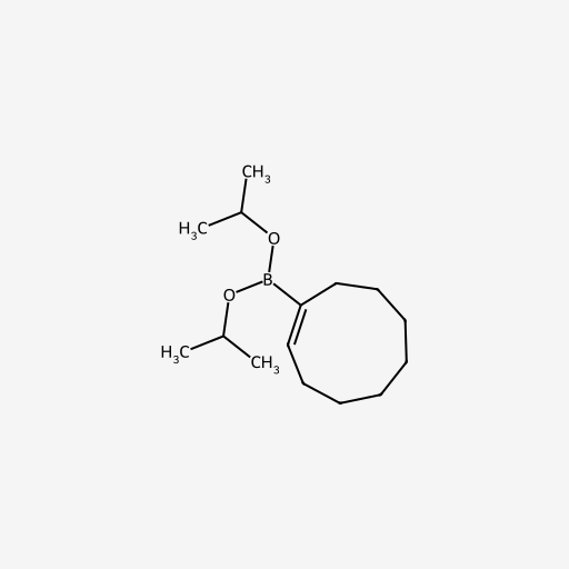 CC(C)OB(OC(C)C)C1=CCCCCCCC1